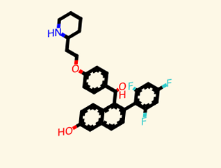 Oc1ccc2c(C(O)c3ccc(OCCC4CCCCN4)cc3)c(-c3c(F)cc(F)cc3F)ccc2c1